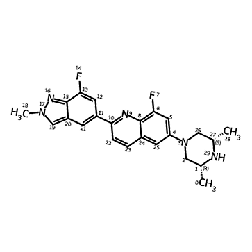 C[C@@H]1CN(c2cc(F)c3nc(-c4cc(F)c5nn(C)cc5c4)ccc3c2)C[C@H](C)N1